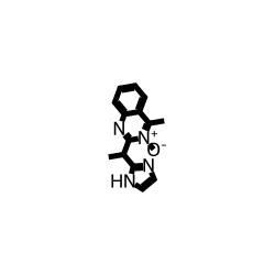 Cc1c2ccccc2nc(C(C)c2ncc[nH]2)[n+]1[O-]